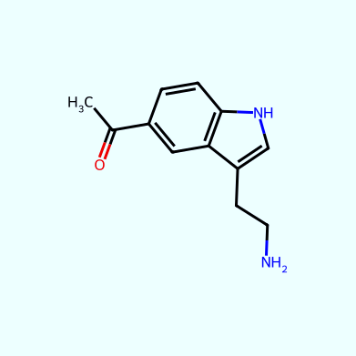 CC(=O)c1ccc2[nH]cc(CCN)c2c1